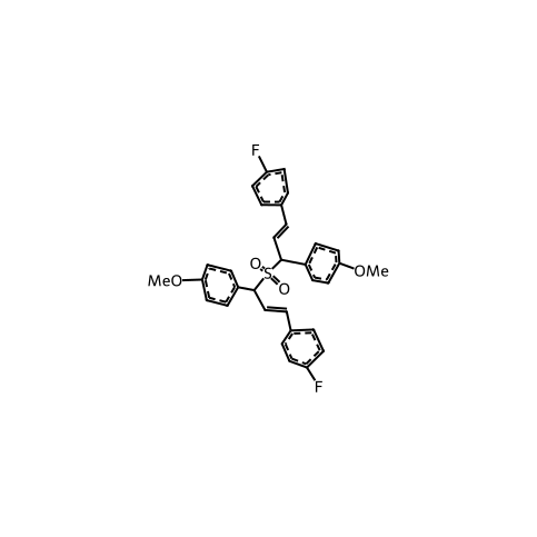 COc1ccc(C(C=Cc2ccc(F)cc2)S(=O)(=O)C(C=Cc2ccc(F)cc2)c2ccc(OC)cc2)cc1